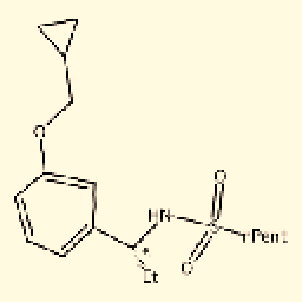 CCCCCS(=O)(=O)N[C@H](CC)c1cccc(OCC2CC2)c1